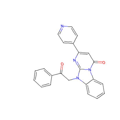 O=C(Cn1c2ccccc2n2c(=O)cc(-c3ccncc3)nc12)c1ccccc1